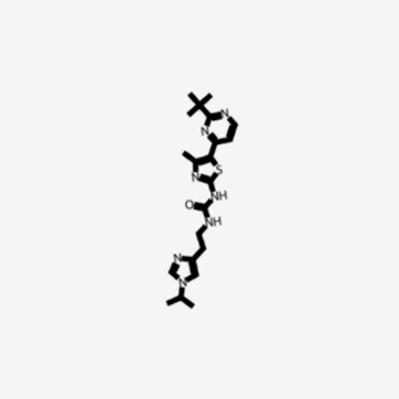 Cc1nc(NC(=O)NCCc2cn(C(C)C)cn2)sc1-c1ccnc(C(C)(C)C)n1